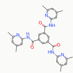 Cc1cc(C)nc(NC(=O)c2cc(C(=O)Nc3cc(C)cc(C)n3)cc(C(=O)Nc3cc(C)cc(C)n3)c2)c1